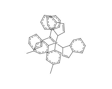 Cc1cc[c]([Zr]([c]2ccc(C)cc2)([CH]2C=Cc3ccccc32)([CH]2C=Cc3ccccc32)=[Si](c2ccccc2)c2ccccc2)cc1